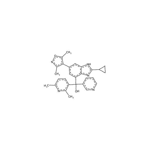 Cc1ccc(C(O)(c2cccnc2)c2cc(-c3c(C)noc3C)cc3[nH]c(C4CC4)nc23)c(C)n1